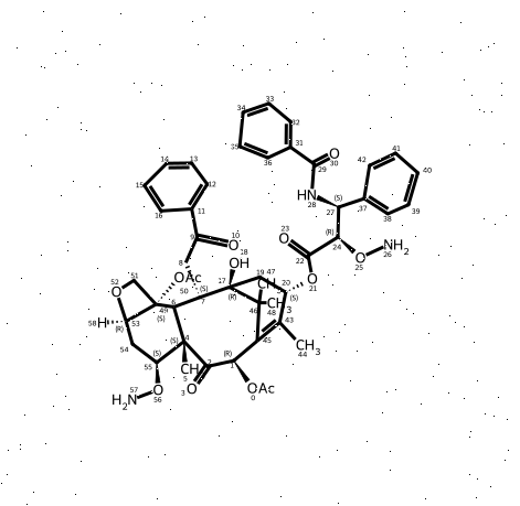 CC(=O)O[C@H]1C(=O)[C@@]2(C)C([C@H](CC(=O)c3ccccc3)[C@]3(O)C[C@H](OC(=O)[C@H](ON)[C@@H](NC(=O)c4ccccc4)c4ccccc4)C(C)=C1C3(C)C)[C@]1(OC(C)=O)CO[C@@H]1C[C@@H]2ON